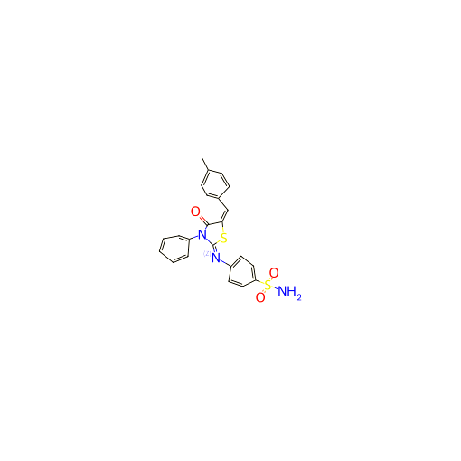 Cc1ccc(C=C2S/C(=N\c3ccc(S(N)(=O)=O)cc3)N(c3ccccc3)C2=O)cc1